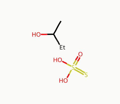 CCC(C)O.O=S(O)(O)=S